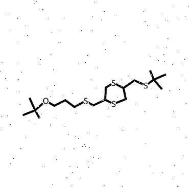 CC(C)(C)OCCCSCC1CSC(CSC(C)(C)C)CS1